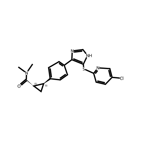 CN(C)C(=O)[C@H]1C[C@@H]1c1ccc(-c2nc[nH]c2Sc2ccc(Cl)cn2)cc1